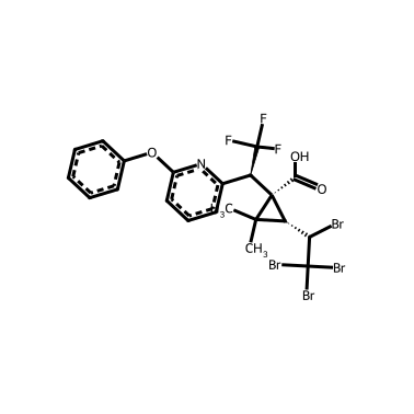 CC1(C)[C@@H](C(Br)C(Br)(Br)Br)[C@]1(C(=O)O)[C@@H](c1cccc(Oc2ccccc2)n1)C(F)(F)F